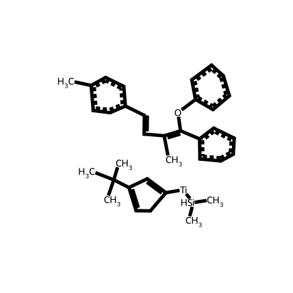 CC(C=Cc1ccc(C)cc1)=C(Oc1ccccc1)c1ccccc1.C[SiH](C)[Ti][C]1=CC(C(C)(C)C)=CC1